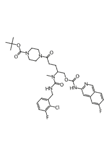 CN(C(=O)NCc1cccc(F)c1Cl)C(CCC(=O)N1CCN(C(=O)OC(C)(C)C)CC1)COC(=O)Nc1cc2cc(F)ccc2cn1